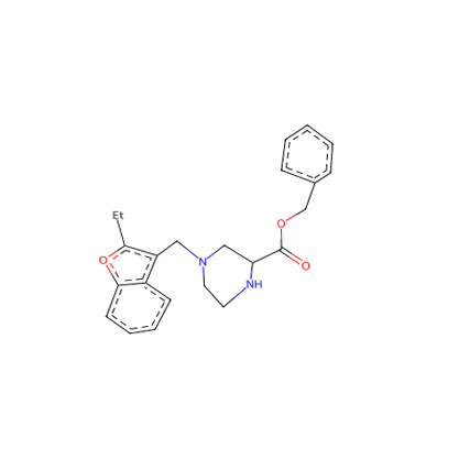 CCc1oc2ccccc2c1CN1CCNC(C(=O)OCc2ccccc2)C1